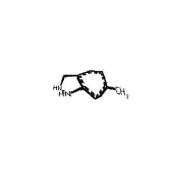 Cc1ccc2c(c1)NNC2